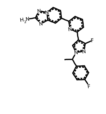 CC(c1ccc(F)cc1)n1cc(-c2cccc(-c3ccn4nc(N)nc4c3)n2)c(F)n1